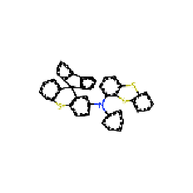 c1ccc(N(c2ccc3c(c2)C2(c4ccccc4S3)c3ccccc3-c3ccccc32)c2cccc3c2Sc2ccccc2S3)cc1